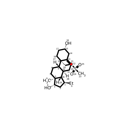 CC[C@H]1C[C@H](O)[C@@]2(C)CC[C@H]3[C@@H](CC=C4C[C@@H](O)CC[C@@]43COS(C)(=O)=O)[C@H]12